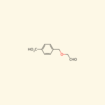 O=CCOCc1ccc(C(=O)O)cc1